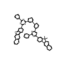 CC1(C)c2cc(-c3cc(-c4cccc(-c5cccc(-c6nc(-c7ccccc7)nc(-c7ccc8c(c7)oc7cc9ccccc9cc78)n6)c5)c4)nc(-c4ccccc4)n3)ccc2-c2cc3ccccc3cc21